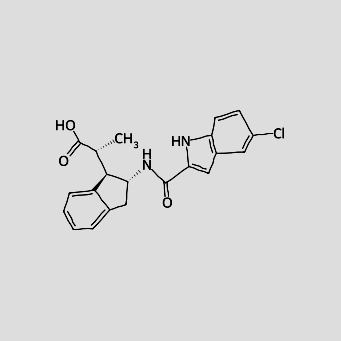 C[C@@H](C(=O)O)[C@@H]1c2ccccc2C[C@H]1NC(=O)c1cc2cc(Cl)ccc2[nH]1